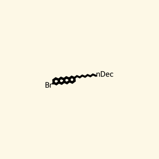 CCCCCCCCCCCCCCCCCCc1ccc2cc3cc4cc(Br)ccc4cc3cc2c1